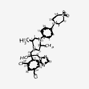 CC1CN(c2ccc(N3CCS(=O)(=O)CC3)cc2)C(C)CN1CC(O)(Cn1cncn1)c1ccc(Cl)cc1Cl